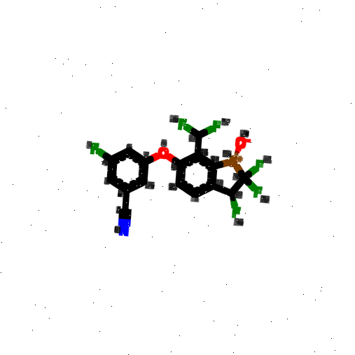 N#Cc1cc(F)cc(Oc2ccc3c(c2C(F)F)[S@+]([O-])C(F)(F)[C@H]3F)c1